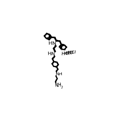 Cl.Cl.Cl.Cl.NCCCNCCC1CCC(CCNCCCNC(CC2CC3CCC2C3)CC2CC3CCC2C3)CC1